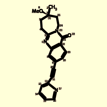 CO[C@@]1(C)CCc2nc3cc(C#Cc4ccccn4)ccc3c(=O)n2CC1